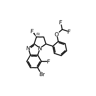 Fc1c(Br)ccc2nc3n(c12)C(c1ccccc1OC(F)F)C[C@@H]3F